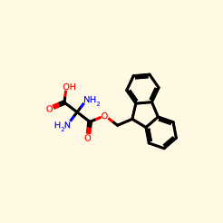 NC(N)(C(=O)O)C(=O)OCC1c2ccccc2-c2ccccc21